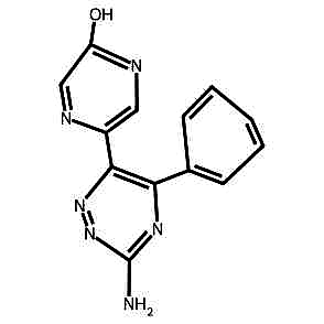 Nc1nnc(-c2cnc(O)cn2)c(-c2ccccc2)n1